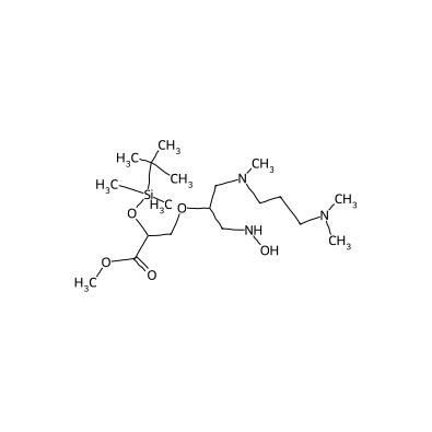 COC(=O)C(COC(CNO)CN(C)CCCN(C)C)O[Si](C)(C)C(C)(C)C